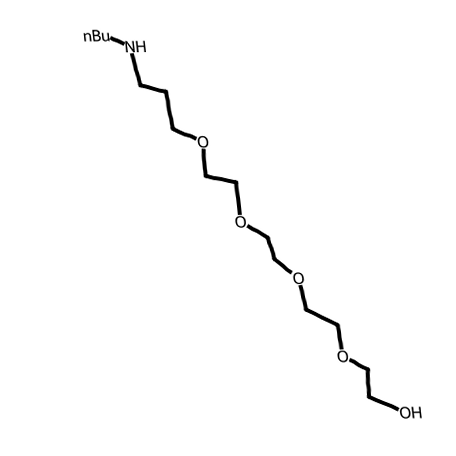 CCCCNCCCOCCOCCOCCOCCO